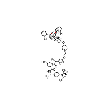 Cc1cnc(C)n1-c1ccc([C@H](C)NC(=O)[C@@H]2C[C@@H](O)CN2C(=O)[C@H](c2cc(OCCN3CCC(OC4CC(Oc5cc(N6C7CC[C@@H]6CN(c6cc(-c8ccccc8O)nnc6N)C7)ccn5)C4)CC3)no2)C(C)C)cc1